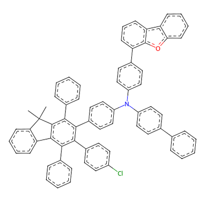 CC1(C)c2ccccc2-c2c(-c3ccccc3)c(-c3ccc(Cl)cc3)c(-c3ccc(N(c4ccc(-c5ccccc5)cc4)c4ccc(-c5cccc6c5oc5ccccc56)cc4)cc3)c(-c3ccccc3)c21